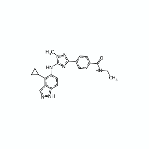 CCNC(=O)c1ccc(-c2nc(Nc3ccc4[nH]ncc4c3C3CC3)n(C)n2)cc1